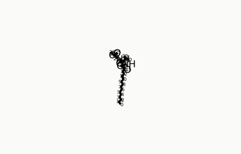 CCCCCCCCCCCCCCC(=O)C(=O)N[C@H](C(=O)NCC(=O)OC)C(C)C